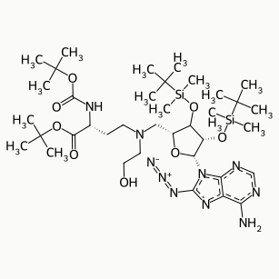 CC(C)(C)OC(=O)N[C@H](CCN(CCO)C[C@H]1O[C@@H](n2c(N=[N+]=[N-])nc3c(N)ncnc32)[C@@H](O[Si](C)(C)C(C)(C)C)C1O[Si](C)(C)C(C)(C)C)C(=O)OC(C)(C)C